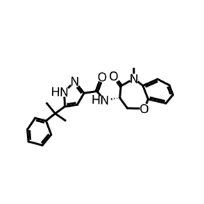 CN1C(=O)[C@@H](NC(=O)c2cc(C(C)(C)c3ccccc3)[nH]n2)COc2ccccc21